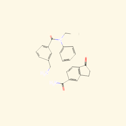 NC(=O)c1ccc2c(c1)CCC2=O.NCc1cccc(C(=O)N(CC(=O)O)c2ccccc2)c1